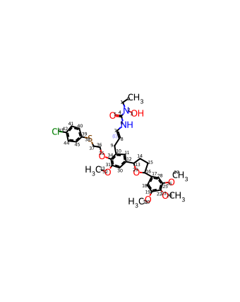 CCN(O)C(=O)N/C=C/Cc1cc(C2CCC(c3cc(OC)c(OC)c(OC)c3)O2)cc(OC)c1OCCSc1ccc(Cl)cc1